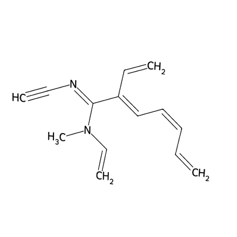 C#C/N=C(/C(C=C)=C/C=C\C=C)N(C)C=C